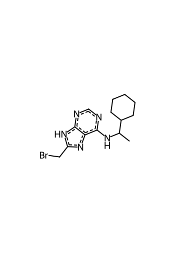 CC(Nc1ncnc2[nH]c(CBr)nc12)C1CCCCC1